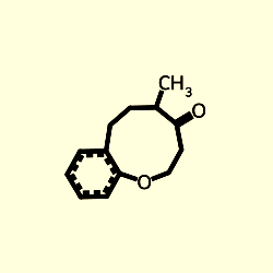 CC1CCc2ccccc2OCCC1=O